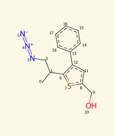 CC(CN=[N+]=[N-])c1sc(CO)cc1-c1ccccc1